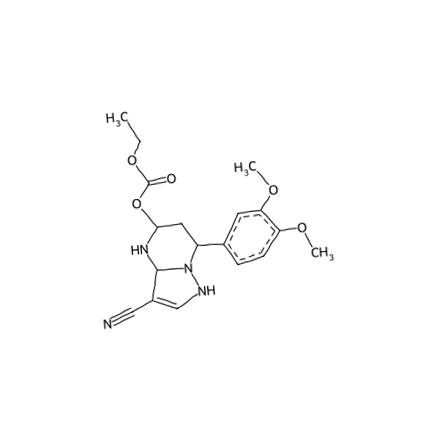 CCOC(=O)OC1CC(c2ccc(OC)c(OC)c2)N2NC=C(C#N)C2N1